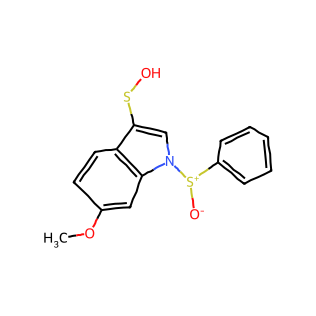 COc1ccc2c(SO)cn([S+]([O-])c3ccccc3)c2c1